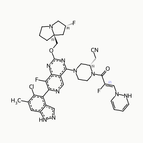 Cc1cc2[nH]ncc2c(-c2ncc3c(N4CCN(C(=O)/C(F)=C/N5C=CC=CN5)[C@@H](CC#N)C4)nc(OC[C@@]45CCCN4C[C@H](F)C5)nc3c2F)c1Cl